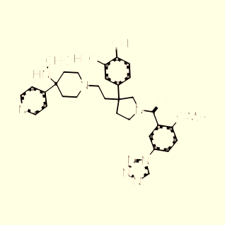 COc1ccc(-n2cnnn2)cc1C(=O)N1CCC(CCN2CCC(NC=O)(c3ccncc3)CC2)(c2ccc(C)c(C)c2)C1